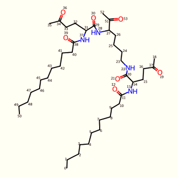 CCCCCCCCCCCC(=O)NC(CCC(C)=O)C(=O)NCCCCC(NC(=O)C(CCC(C)=O)NC(=O)CCCCCCCCCCC)C(C)=O